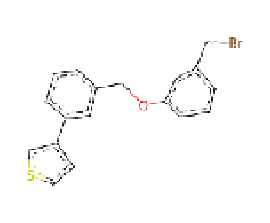 BrCc1cccc(OCc2cccc(-c3ccsc3)c2)c1